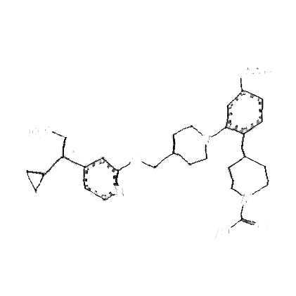 COc1ccc(C2CCN(C(=O)C(C)(C)C)CC2)c(N2CCC(COc3cc(C(CC(=O)O)C4CC4)ccn3)CC2)c1